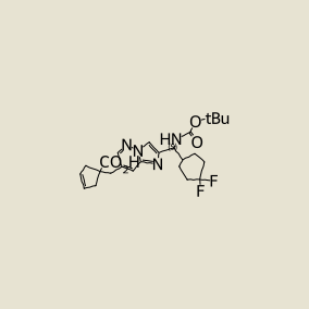 CC(C)(C)OC(=O)N[C@H](c1cn2ncc(CC3(C(=O)O)CC=CC3)cc2n1)C1CCC(F)(F)CC1